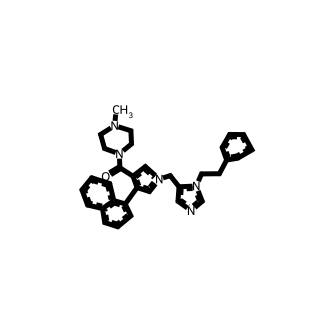 CN1CCN(C(=O)c2cn(Cc3cncn3CCc3ccccc3)cc2-c2cccc3ccccc23)CC1